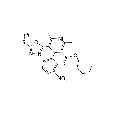 CC1=C(C(=O)OC2CCCCC2)C(c2cccc([N+](=O)[O-])c2)C(c2nnc(SC(C)C)o2)=C(C)N1